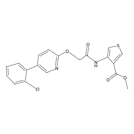 COC(=O)c1cscc1NC(=O)COc1ccc(-c2ccccc2Cl)cn1